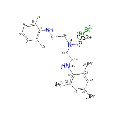 Cc1cccc(C)c1NCCN(C)CCNc1c(C(C)C)cc(C(C)C)cc1C(C)C.[Br-].[Br-].[Co+2]